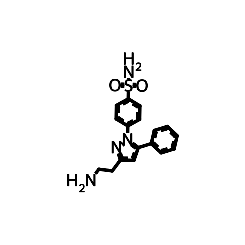 NCCc1cc(-c2ccccc2)n(-c2ccc(S(N)(=O)=O)cc2)n1